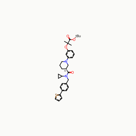 CC(C)(C)OC(=O)C(C)(C)Oc1cccc(N2CCC[C@H](C(=O)N(Cc3ccc(-c4cccs4)cc3)C3CC3)C2)c1